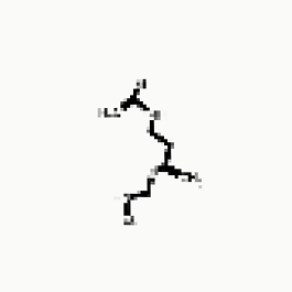 C=C(CC)NCCC(=C)NCNCC